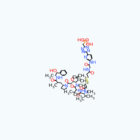 CC[C@H](C)[C@@H]([C@@H](CC(=O)N1CCC[C@H]1C[C@@H](C)C(=O)N[C@H](C)[C@@H](O)c1ccccc1)OC)N(C)C(=O)[C@@H](NC(=O)[C@H](C(C)C)N(C)C(=O)CCSSCCC(=O)NCC(=O)Nc1ccc(-c2nnc(CP(=O)(O)O)nn2)nc1)C(C)C